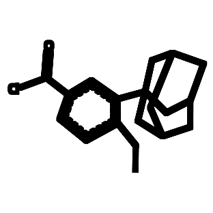 CCc1ccc(C(=O)Cl)cc1C12CC3CC(CC(C3)C1)C2